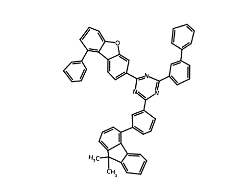 CC1(C)c2ccccc2-c2c(-c3cccc(-c4nc(-c5cccc(-c6ccccc6)c5)nc(-c5ccc6c(c5)oc5cccc(-c7ccccc7)c56)n4)c3)cccc21